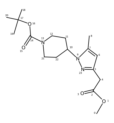 COC(=O)Cc1cc(C)n(C2CCN(C(=O)OC(C)(C)C)CC2)n1